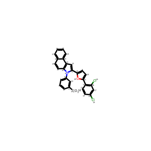 O=C(O)c1cccc(-n2c(-c3ccc(-c4ccc(Cl)cc4Cl)o3)cc3c4ccccc4ccc32)c1